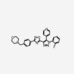 Fc1ccccc1-n1nnc(-c2nc(-c3ccc(CN4CCOCC4)cc3)no2)c1-c1ccncc1